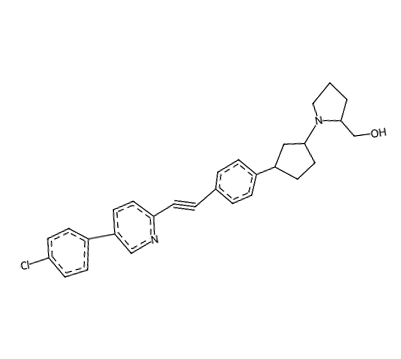 OCC1CCCN1C1CCC(c2ccc(C#Cc3ccc(-c4ccc(Cl)cc4)cn3)cc2)C1